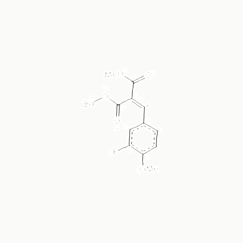 COC(=O)/C(=C/c1ccc(OC)c(F)c1)C(=O)OC(C)(C)C